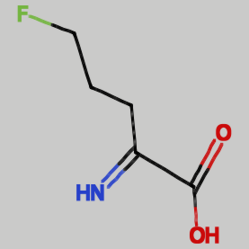 N=C(CCCF)C(=O)O